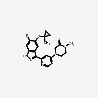 CN1CCN(c2cc(-c3n[nH]c4cc(F)c(OC5(C)CC5)cc34)ncn2)CC1=O